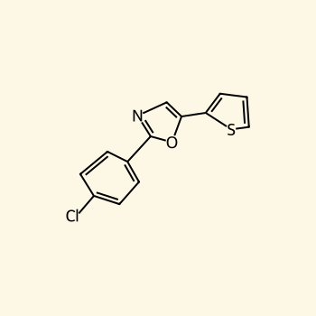 Clc1ccc(-c2ncc(-c3cccs3)o2)cc1